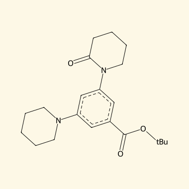 CC(C)(C)OC(=O)c1cc(N2CCCCC2)cc(N2CCCCC2=O)c1